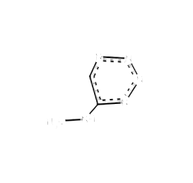 CNc1cnnnn1